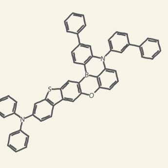 c1ccc(-c2cccc(N3c4cc(-c5ccccc5)ccc4B4c5cc6sc7cc(N(c8ccccc8)c8ccccc8)ccc7c6cc5Oc5cccc3c54)c2)cc1